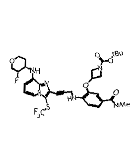 CNC(=O)c1ccc(NCC#Cc2nc3c(N[C@@H]4CCOC[C@@H]4F)cccn3c2SC(F)(F)F)c(OC2CN(C(=O)OC(C)(C)C)C2)c1